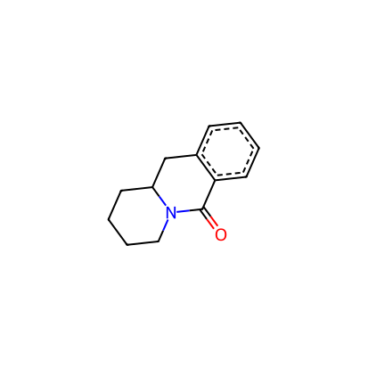 O=C1c2ccccc2CC2CCCCN12